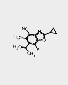 C=C(C)c1c(C)c(C#N)c2nc(C3CC3)oc2c1F